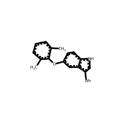 CCCc1c[nH]c2ccc(Oc3c(C)c[c]cc3C)cc12